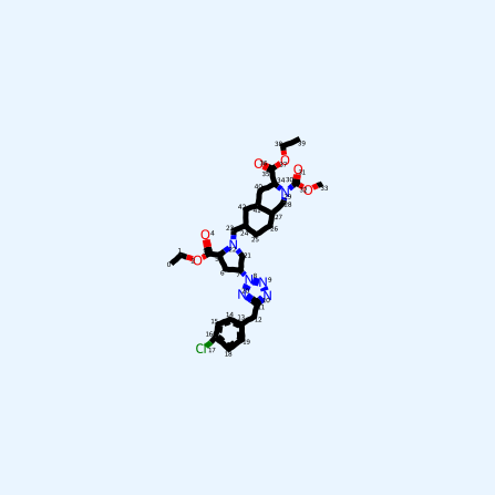 CCOC(=O)C1CC(n2nnc(Cc3ccc(Cl)cc3)n2)CN1CC1CCC2CN(C(=O)OC)C(C(=O)OCC)CC2C1